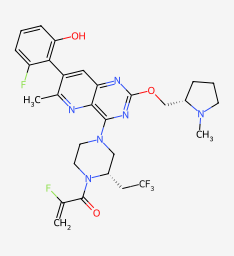 C=C(F)C(=O)N1CCN(c2nc(OC[C@@H]3CCCN3C)nc3cc(-c4c(O)cccc4F)c(C)nc23)C[C@@H]1CC(F)(F)F